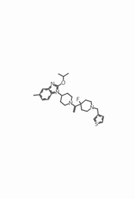 C=C(N1CCC(n2c(OC(C)C)nc3cc(C)ccc32)CC1)C1(F)CCN(Cc2ccsc2)CC1